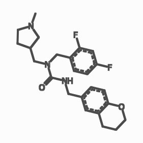 CN1CCC(CN(Cc2ccc(F)cc2F)C(=O)NCc2ccc3c(c2)CCCO3)C1